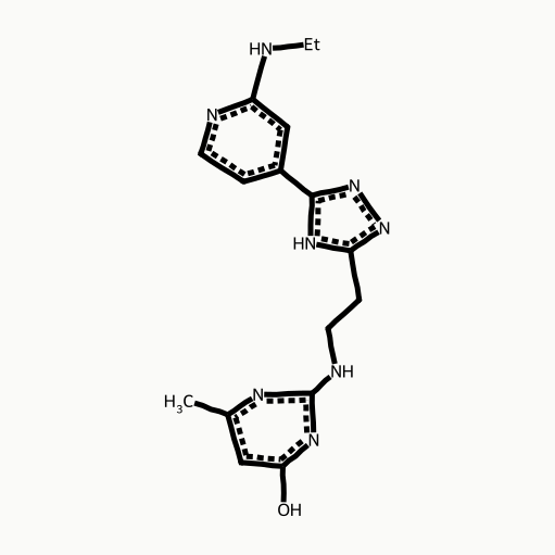 CCNc1cc(-c2nnc(CCNc3nc(C)cc(O)n3)[nH]2)ccn1